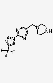 FC(F)(F)c1cn(-c2ncc(CN3CCNCC3)cn2)cn1